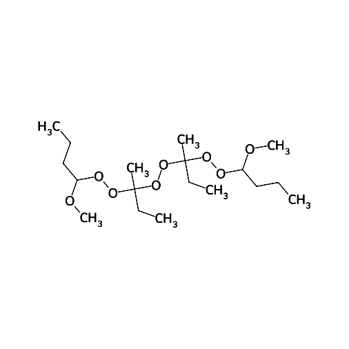 CCCC(OC)OOC(C)(CC)OOC(C)(CC)OOC(CCC)OC